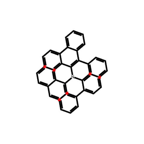 c1ccc(-c2ccccc2N(c2cccc3ccccc23)c2c(-c3ccccc3)c3ccccc3c3ccccc23)cc1